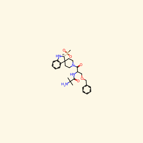 CC(C)(N)C(=O)NC(COCc1ccccc1)C(=O)N1CCC2(CC1)c1ccccc1N[C@@H]2S(C)(=O)=O